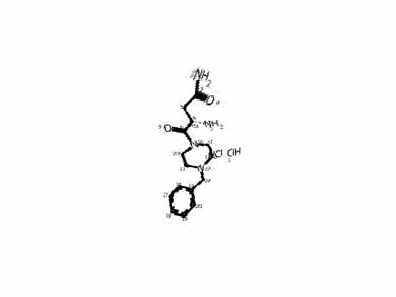 Cl.Cl.NC(=O)C[C@H](N)C(=O)N1CCN(Cc2ccccc2)CC1